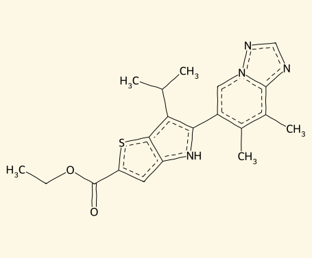 CCOC(=O)c1cc2[nH]c(-c3cn4ncnc4c(C)c3C)c(C(C)C)c2s1